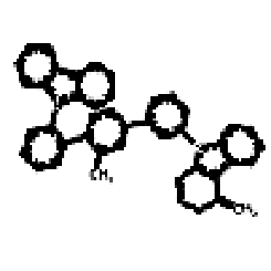 C=C1CC=Cc2c1c1ccccc1n2-c1cccc(-c2ccc(-c3ccccc3-n3c4ccccc4c4ccccc43)c(C)c2)c1